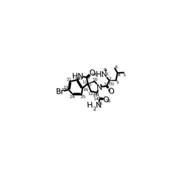 CN[C@@H](CC(C)C)C(=O)N1C[C@]2(C[C@H]1C(N)=O)C(=O)Nc1cc(Br)ccc12